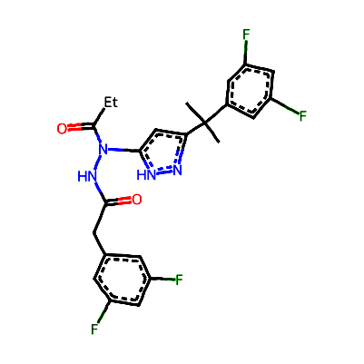 CCC(=O)N(NC(=O)Cc1cc(F)cc(F)c1)c1cc(C(C)(C)c2cc(F)cc(F)c2)n[nH]1